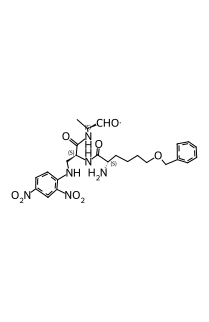 C[C@@H]([C]=O)NC(=O)[C@H](CNc1ccc([N+](=O)[O-])cc1[N+](=O)[O-])NC(=O)[C@@H](N)CCCCOCc1ccccc1